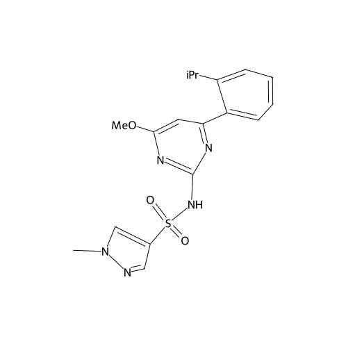 COc1cc(-c2ccccc2C(C)C)nc(NS(=O)(=O)c2cnn(C)c2)n1